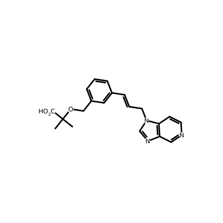 CC(C)(OCc1cccc(/C=C/Cn2cnc3cnccc32)c1)C(=O)O